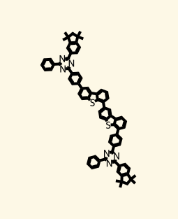 CC1(C)CC(C)(C)c2cc(-c3nc(-c4ccccc4)nc(-c4ccc(-c5ccc6sc7c(-c8ccc9sc%10c(-c%11ccc(-c%12nc(-c%13ccccc%13)nc(-c%13ccc%14c(c%13)C(C)(C)CC%14(C)C)n%12)cc%11)cccc%10c9c8)cccc7c6c5)cc4)n3)ccc21